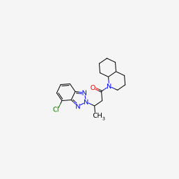 CC(CC(=O)N1CCCC2CCCCC21)n1nc2cccc(Cl)c2n1